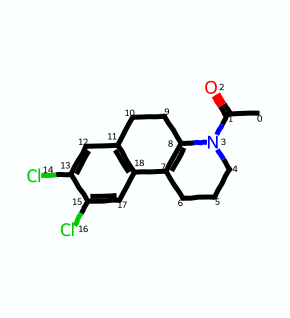 CC(=O)N1CCCC2=C1CCc1cc(Cl)c(Cl)cc12